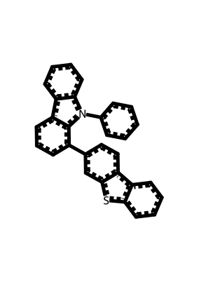 c1ccc(-n2c3ccccc3c3cccc(-c4ccc5c(c4)sc4ccccc45)c32)cc1